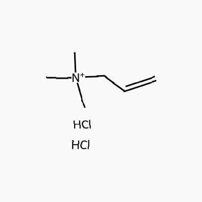 C=CC[N+](C)(C)C.Cl.Cl